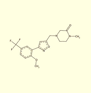 COc1ccc(C(F)(F)F)cc1-c1cc(CN2CCN(C)C(=O)C2)on1